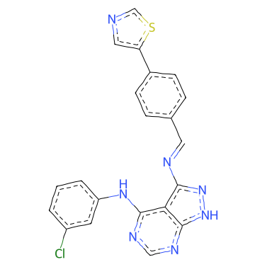 Clc1cccc(Nc2ncnc3[nH]nc(/N=C/c4ccc(-c5cncs5)cc4)c23)c1